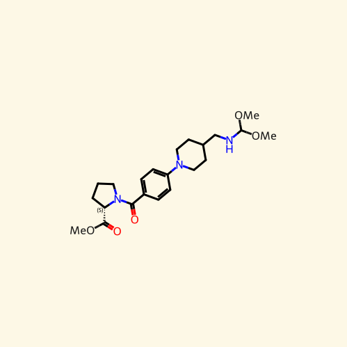 COC(=O)[C@@H]1CCCN1C(=O)c1ccc(N2CCC(CNC(OC)OC)CC2)cc1